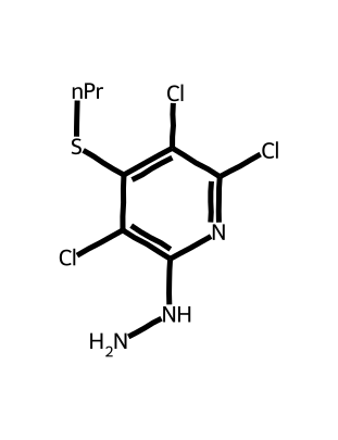 CCCSc1c(Cl)c(Cl)nc(NN)c1Cl